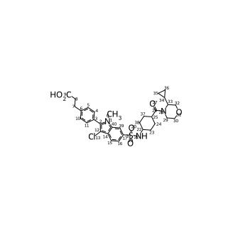 Cn1c(-c2ccc(CCC(=O)O)cc2)c(Cl)c2ccc(S(=O)(=O)NC3CCC(C(=O)N4CCOCC4C4CC4)CC3)cc21